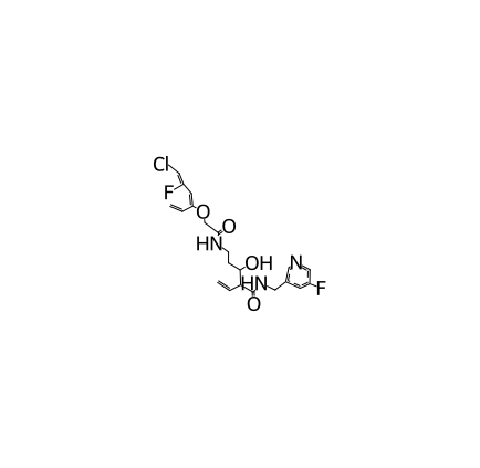 C=C/C(=C\C(F)=C\Cl)OCC(=O)NCCC(O)C(C=C)C(=O)NCc1cncc(F)c1